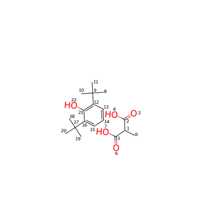 CC(C(=O)O)C(=O)O.CC(C)(C)c1cccc(C(C)(C)C)c1O